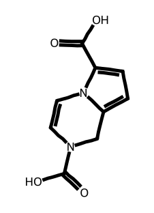 O=C(O)c1ccc2n1C=CN(C(=O)O)C2